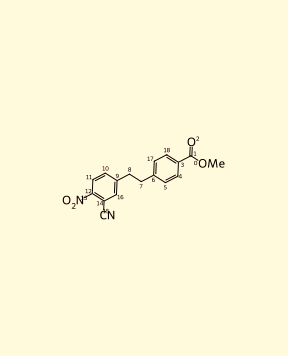 COC(=O)c1ccc(CCc2ccc([N+](=O)[O-])c(C#N)c2)cc1